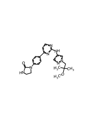 COC(C)(C)Cn1cc(Nc2nccc(-c3ccc(N4CCNC4=O)cc3)n2)cn1